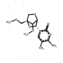 COC[C@@]12COC(C1OC)[C@H](n1cc(C)c(N)nc1=O)O2